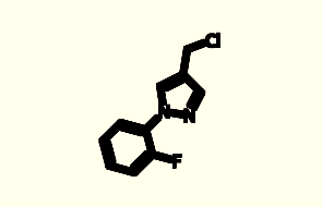 Fc1ccccc1-n1cc(CCl)cn1